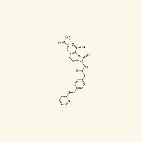 CC(=O)OCC1=C(C(=O)O)N2C(=O)C(NC(=O)Cc3ccc(CSc4ccccn4)cc3)C2SC1